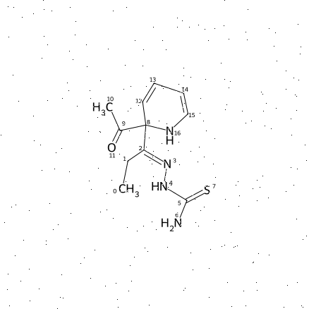 CCC(=NNC(N)=S)C1(C(C)=O)C=CC=CN1